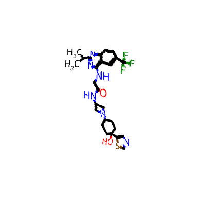 CC(C)c1nc(NCC(=O)NC2CN(C3CCC(O)(c4cncs4)CC3)C2)c2cc(C(F)(F)F)ccc2n1